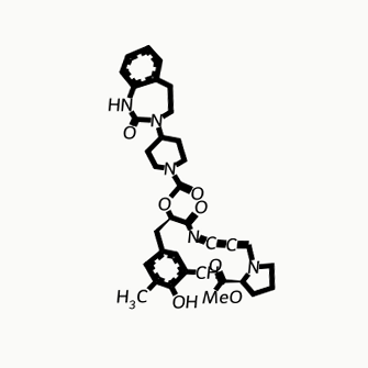 COC(=O)[C@@H]1CCCN1C=C=C=NC(=O)[C@@H](Cc1cc(C)c(O)c(C)c1)OC(=O)N1CCC(N2CCc3ccccc3NC2=O)CC1